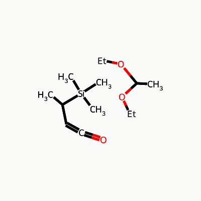 CC(C=C=O)[Si](C)(C)C.CCOC(C)OCC